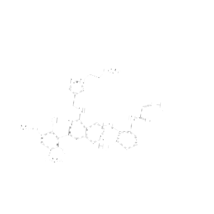 C=CC(=O)Nc1cccc(C)c1Nc1cc2c(NCc3cnn(CCOC)c3)nc(-c3c(Cl)c(OC)cc(OC)c3Cl)cc2cn1